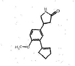 COc1ccc(C2CNC(=O)C2)cc1C1=CCCC1